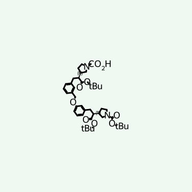 CC(C)(C)OC(=O)C(Cc1cccc(COc2cccc(CC(C(=O)OC(C)(C)C)[C@H]3CCN(C(=O)OC(C)(C)C)C3)c2)c1)[C@H]1CCN(C(=O)O)C1